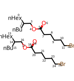 CCCCCCC(CCCC)COC(=O)CCCCCBr.CCCCCCC(CCCC)COC(=O)CCCCCBr